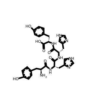 N[C@@H](Cc1ccc(O)cc1)C(=O)N[C@@H](Cc1c[nH]cn1)C(=O)N[C@@H](Cc1c[nH]cn1)C(=O)N[C@@H](Cc1ccc(O)cc1)C(=O)O